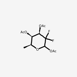 CC(=O)OC1O[C@@H](C)[C@@H](OC(C)=O)[C@@H](OC(C)=O)C1(F)F